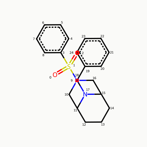 O=S(=O)(c1ccccc1)N1CC2CCCC(C1)N2Cc1ccccc1